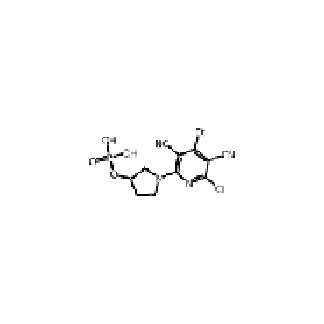 CCc1c(C#N)c(Cl)nc(N2CCC(OP(=O)(O)O)C2)c1C#N